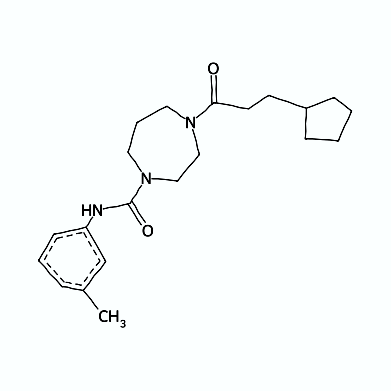 Cc1cccc(NC(=O)N2CCCN(C(=O)CCC3CCCC3)CC2)c1